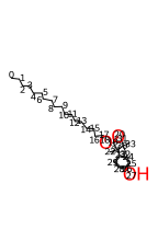 CCCCCCCCCCCCCCCCCCOC(=O)C(C)(c1ccc(O)cc1)C(C)(C)C